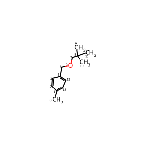 Cc1ccc(COCC(C)(C)C)cc1